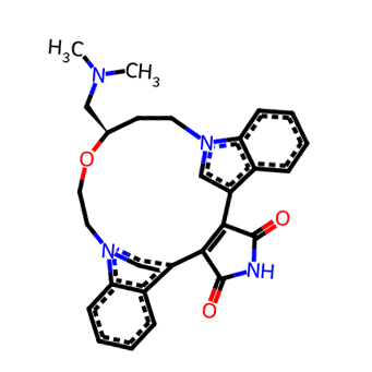 CN(C)C[C@H]1CCn2cc(c3ccccc32)C2=C(C(=O)NC2=O)c2cn(c3ccccc23)CCO1